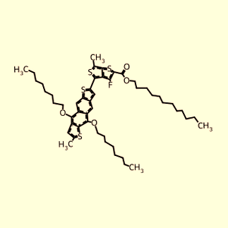 CCCCCCCCCCCCOC(=O)c1sc2c(C)sc(-c3cc4cc5c(OCCCCCCCC)c6sc(C)cc6c(OCCCCCCCC)c5cc4s3)c2c1F